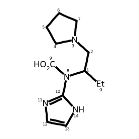 CCC(CN1CCCC1)N(C(=O)O)c1ncc[nH]1